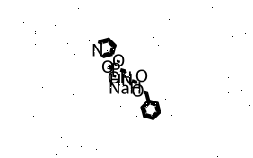 O=C(NCP(=O)(O)Oc1cccnc1)OCc1ccccc1.[NaH]